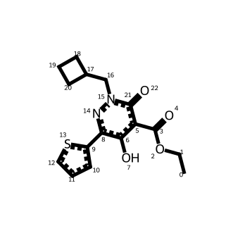 CCOC(=O)c1c(O)c(-c2cccs2)nn(CC2CCC2)c1=O